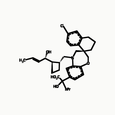 C/C=C/[C@H](O)[C@@H]1CC[C@H]1CN1C[C@@]2(CCCc3cc(Cl)ccc32)COc2ccc(C(O)(CCC)C(=O)O)cc21